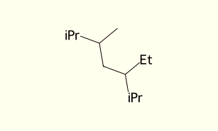 [CH2]C(C)C(CC)CC(C)C(C)C